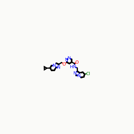 O=C(NCc1ncn2ccc(Cl)cc12)c1cnnc(OCc2cn3cc(C4CC4)ccc3n2)c1